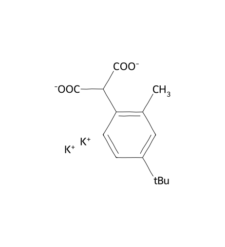 Cc1cc(C(C)(C)C)ccc1C(C(=O)[O-])C(=O)[O-].[K+].[K+]